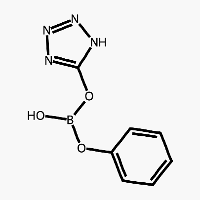 OB(Oc1ccccc1)Oc1nnn[nH]1